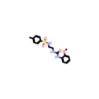 COc1ccccc1NC(=O)NCCNS(=O)(=O)c1ccc(C)cc1